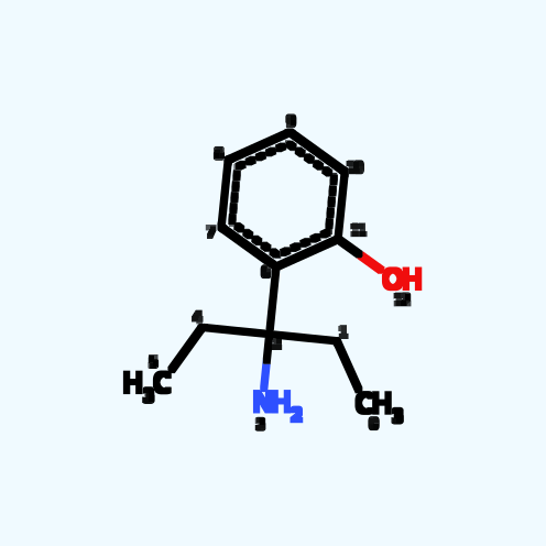 CCC(N)(CC)c1ccccc1O